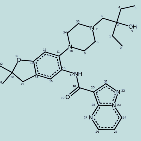 CCC(O)(CC)CN1CCN(c2cc3c(cc2NC(=O)c2cnn4cccnc24)CC(C)(C)O3)CC1